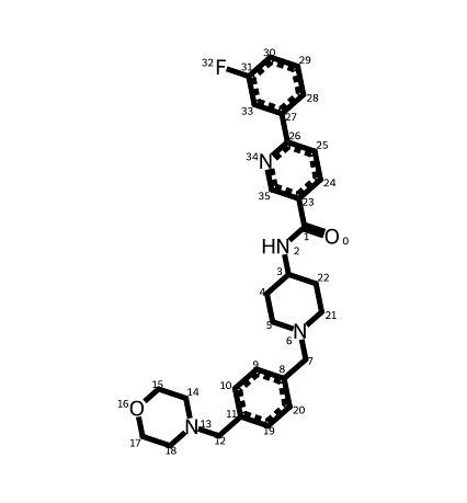 O=C(NC1CCN(Cc2ccc(CN3CCOCC3)cc2)CC1)c1ccc(-c2cccc(F)c2)nc1